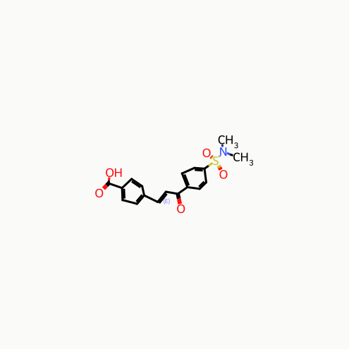 CN(C)S(=O)(=O)c1ccc(C(=O)/C=C/c2ccc(C(=O)O)cc2)cc1